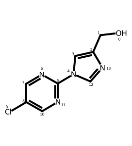 OCc1cn(-c2ncc(Cl)cn2)cn1